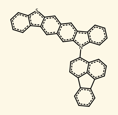 c1ccc2c(c1)-c1cccc3c(-n4c5ccccc5c5cc6cc7sc8ccccc8c7cc6cc54)ccc-2c13